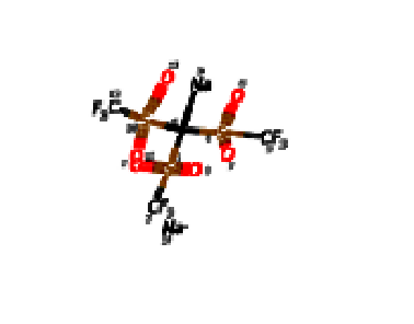 O=S(=O)(C(F)(F)F)[C]([Na])(S(=O)(=O)C(F)(F)F)S(=O)(=O)C(F)(F)F.[Na]